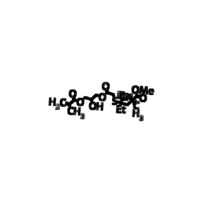 C=C(C)C(=O)OCC(O)COC(=O)CSC(C)(CC)CC(C)(C(=O)OC)C(C)CC